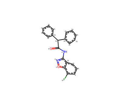 O=C(Nc1noc2c(F)cccc12)C(c1ccccc1)c1ccccc1